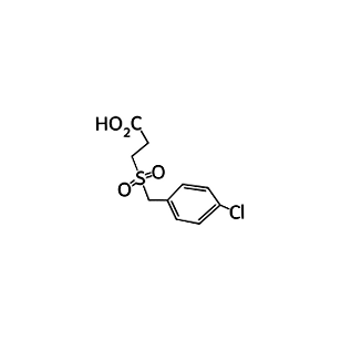 O=C(O)CCS(=O)(=O)Cc1ccc(Cl)cc1